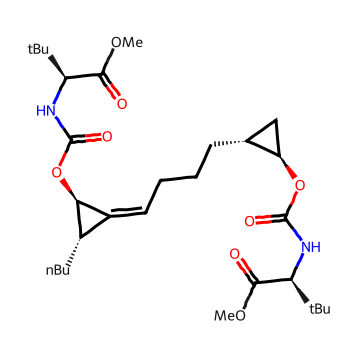 CCCC[C@H]1/C(=C/CCC[C@@H]2C[C@H]2OC(=O)N[C@H](C(=O)OC)C(C)(C)C)[C@@H]1OC(=O)N[C@H](C(=O)OC)C(C)(C)C